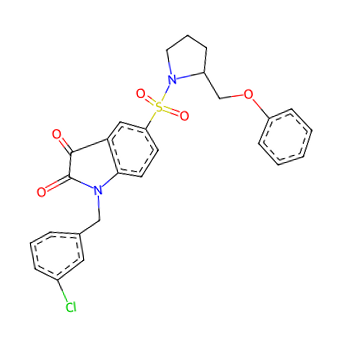 O=C1C(=O)N(Cc2cccc(Cl)c2)c2ccc(S(=O)(=O)N3CCCC3COc3ccccc3)cc21